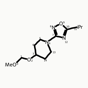 COCOC1CCN(c2noc(C(C)C)n2)CC1